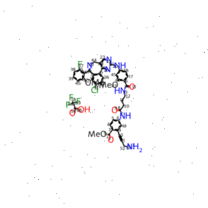 COC(=O)c1ccc(NC(=O)CCCNC(=O)c2ccc(Nc3ncc4c(n3)-c3ccc(Cl)cc3C(c3c(F)cccc3OC)=NC4)cc2OC)cc1C#CCN.O=C(O)C(F)(F)F